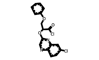 O=C(Cl)C(COc1ccccc1)Oc1cnc2ccc(Cl)cc2n1